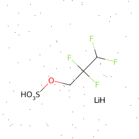 O=S(=O)(O)OCC(F)(F)C(F)F.[LiH]